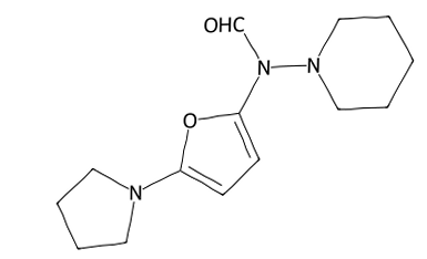 O=CN(c1ccc(N2CCCC2)o1)N1CCCCC1